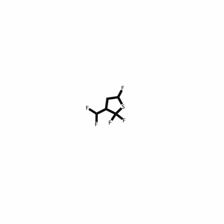 FC1CC(C(F)F)C(F)(F)S1